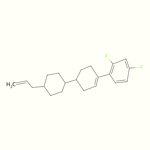 C=CCC1CCC(C2CC=C(c3ccc(F)cc3F)CC2)CC1